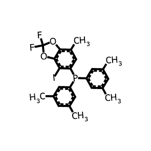 Cc1cc(C)cc(P(c2cc(C)cc(C)c2)c2cc(C)c3c(c2I)OC(F)(F)O3)c1